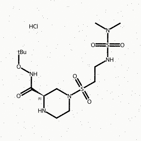 CN(C)S(=O)(=O)NCCS(=O)(=O)N1CCN[C@@H](C(=O)NOC(C)(C)C)C1.Cl